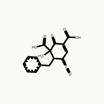 CC1(C(=O)O)C(=O)C(C(=O)O)=CC(=C=O)C1Cc1ccccc1